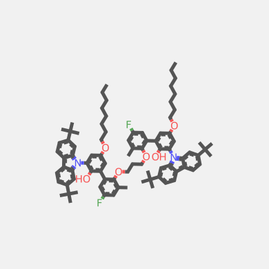 CCCCCCCCOc1cc(-c2cc(F)cc(C)c2OCCCOc2c(C)cc(F)cc2-c2cc(OCCCCCCCC)cc(-n3c4cc(C(C)(C)C)ccc4c4ccc(C(C)(C)C)cc43)c2O)c(O)c(-n2c3cc(C(C)(C)C)ccc3c3ccc(C(C)(C)C)cc32)c1